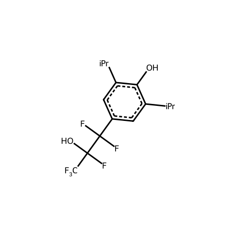 CC(C)c1cc(C(F)(F)C(O)(F)C(F)(F)F)cc(C(C)C)c1O